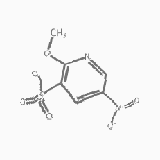 COc1ncc([N+](=O)[O-])cc1S(=O)(=O)Cl